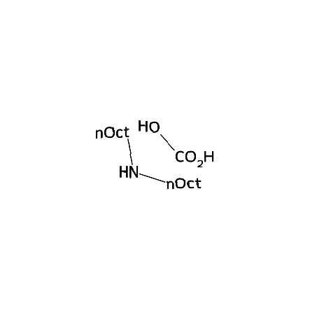 CCCCCCCCNCCCCCCCC.O=C(O)O